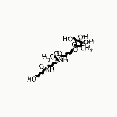 CC(=O)[C@@H](CCCCNC(=O)CCCCO)NC(=O)CCCCOC1OC(CO)C(O)C(O)C1C